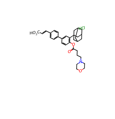 Cl.O=C(O)/C=C/c1ccc(-c2ccc(OC(=O)CCCN3CCOCC3)c(C34CC5CC(CC(C5)C3)C4)c2)cc1